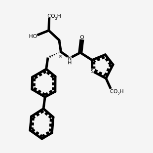 O=C(O)c1ccc(C(=O)N[C@H](Cc2ccc(-c3ccccc3)cc2)CC(O)C(=O)O)s1